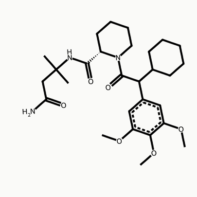 COc1cc(C(C(=O)N2CCCC[C@H]2C(=O)NC(C)(C)CC(N)=O)C2CCCCC2)cc(OC)c1OC